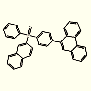 O=P(c1ccccc1)(c1ccc(-c2cc3ccccc3c3ccccc23)cc1)c1ccc2ccccc2c1